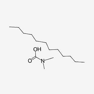 CCCCCCCCCCCC.CN(C)C(=O)O